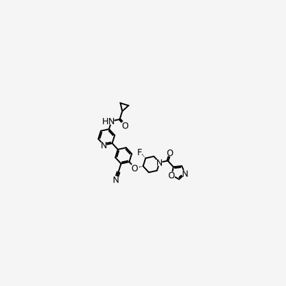 N#Cc1cc(-c2cc(NC(=O)C3CC3)ccn2)ccc1O[C@H]1CCN(C(=O)c2cnco2)C[C@H]1F